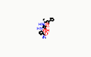 CC[C@@H](Nc1c(Nc2cccc(C(=O)N(C)C)c2O)c(=O)c1=O)c1cc(C2CCCC2)co1